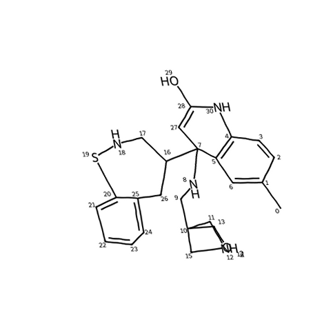 Cc1ccc2c(c1)C(NCC1(CN)COC1)(C1CNSc3ccccc3C1)C=C(O)N2